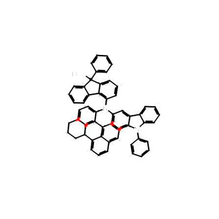 CC1(c2ccccc2)c2ccccc2-c2c(N(c3ccc4c(c3)c3ccccc3n4-c3ccccc3)c3ccccc3-c3cccc4cccc(C5CCCCC5)c34)cccc21